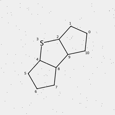 C1CC2SC3CCCC3C2C1